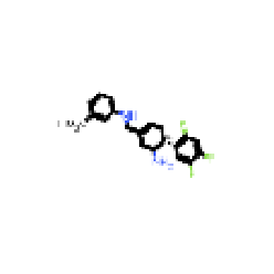 N[C@H]1CC(CNc2cccc(C(=O)O)c2)=CC[C@@H]1c1cc(F)c(F)cc1F